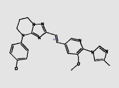 COc1cc(/C=C/c2nc3n(n2)CCCN3c2ccc(Cl)cc2)cnc1-n1cnc(C)c1